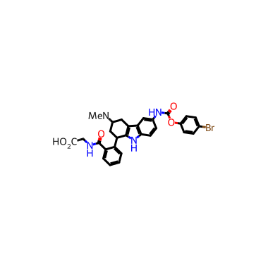 CNC1Cc2c([nH]c3ccc(NC(=O)Oc4ccc(Br)cc4)cc23)C(c2ccccc2C(=O)NCC(=O)O)C1